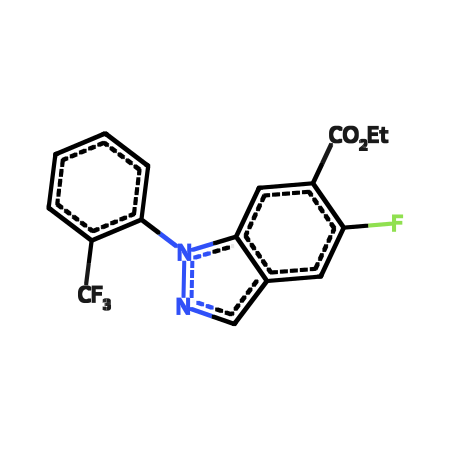 CCOC(=O)c1cc2c(cnn2-c2ccccc2C(F)(F)F)cc1F